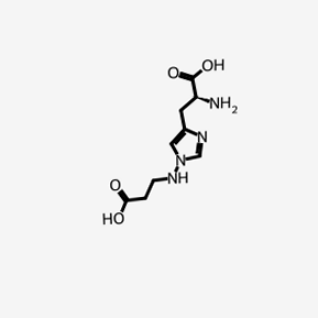 N[C@@H](Cc1cn(NCCC(=O)O)cn1)C(=O)O